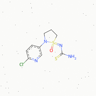 NC(=S)N=S1(=O)CCCN1c1ccc(Cl)nc1